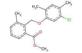 COC(=O)c1cccc(C)c1COc1cc(Cl)c(C)cc1C